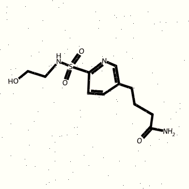 NC(=O)CC[CH]c1ccc(S(=O)(=O)NCCO)nc1